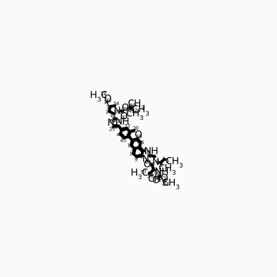 CC[C@H](C)N(Cc1nc2ccc3cc4c(cc3c2[nH]1)OCc1cc(-c2cnc([C@@H]3C[C@H](COC)CN3C(=O)OC(C)(C)C)[nH]2)ccc1-4)C(=O)[C@@H](NC(=O)OC)C(C)C